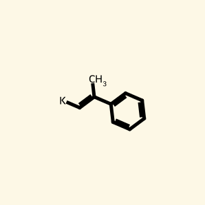 CC(=[CH][K])c1ccccc1